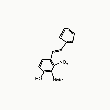 CNc1c(O)ccc(C=Cc2ccccc2)c1[N+](=O)[O-]